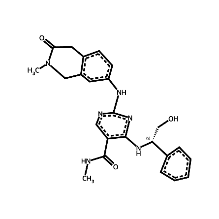 CNC(=O)c1cnc(Nc2ccc3c(c2)CN(C)C(=O)C3)nc1N[C@H](CO)c1ccccc1